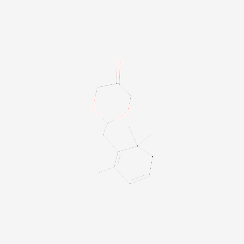 CC1=C(CC2OCC(=O)CO2)C(C)(C)CC=C1